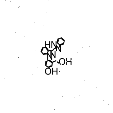 OCCc1cc(O)ccc1-n1nc(-c2nc3ccccc3[nH]2)c2ccccc21